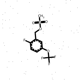 CS(=O)(=O)OCc1cc(OC(F)(F)F)ccc1F